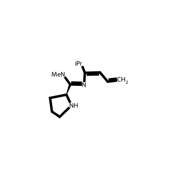 C=C/C=C(\N=C(/NC)[C@@H]1CCCN1)C(C)C